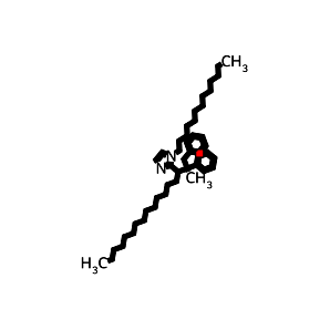 CCCCCCCCCCCCCCC(c1nccn1CCCCCCCCCCCCC)C(C)(Cc1ccccc1)c1ccccc1